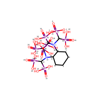 O=P(O)(O)C(N(C1CCCCC1N(C(P(=O)(O)O)P(=O)(O)O)C(P(=O)(O)O)P(=O)(O)O)C(P(=O)(O)O)P(=O)(O)O)P(=O)(O)O